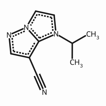 CC(C)n1ccn2ncc(C#N)c12